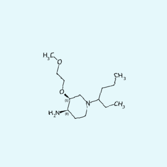 CCCC(CC)N1CC[C@@H](N)[C@@H](OCCOC)C1